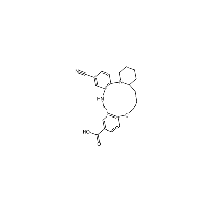 N#Cc1ccc2c(c1)NSc1cc(C(=O)O)ccc1OCCCC1CCCCN21